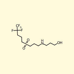 O=S(=O)(CCCNCCCO)CCCC(F)(F)C(F)(F)F